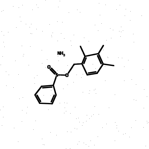 Cc1ccc(COS(=O)c2ccccc2)c(C)c1C.N